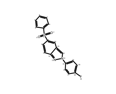 O=S(=O)(c1ccccc1)c1ccc2nn(-c3ccc(F)cc3)cc2c1